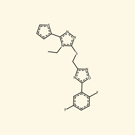 CCn1c(SCc2noc(-c3cc(F)ccc3F)n2)nnc1-c1cccs1